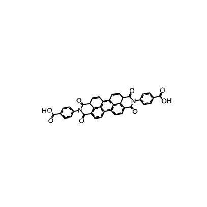 O=C(O)c1ccc(N2C(=O)c3ccc4c5c(c6c7c8c(ccc74)C(=O)N(c4ccc(C(=O)O)cc4)C(=O)C8C=C6)C=CC(C2=O)c35)cc1